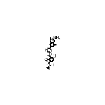 Cc1cc(-c2cncc(O[C@@H](C)c3c(Cl)ccc(C(=O)NC4CC4)c3Cl)n2)cc2c1C[C@@H](N)N(C)C2